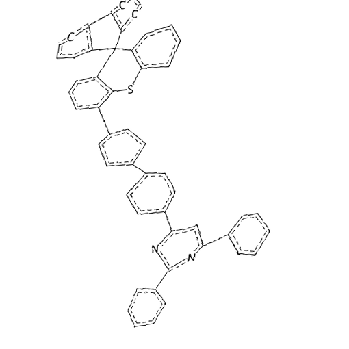 c1ccc(-c2cc(-c3ccc(-c4ccc(-c5cccc6c5Sc5ccccc5C65c6ccccc6-c6ccccc65)cc4)cc3)nc(-c3ccccc3)n2)cc1